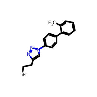 CC(C)CCc1cn(-c2ccc(-c3ccccc3C(F)(F)F)cc2)nn1